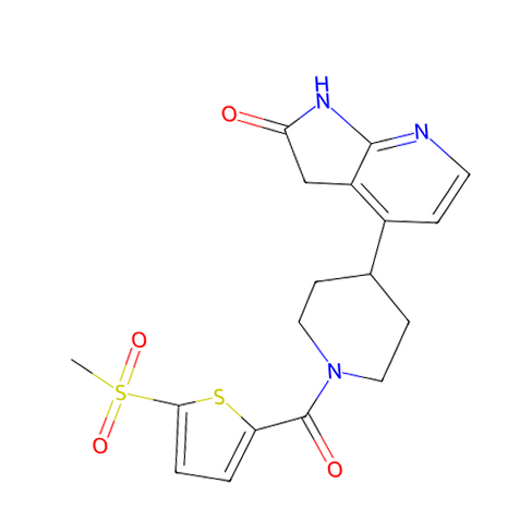 CS(=O)(=O)c1ccc(C(=O)N2CCC(c3ccnc4c3CC(=O)N4)CC2)s1